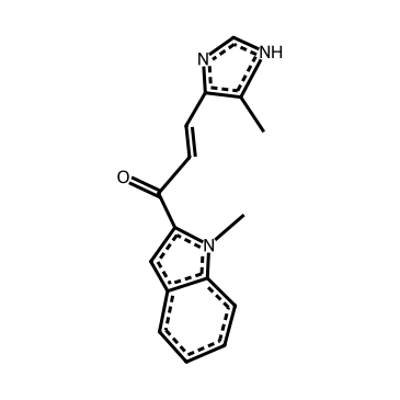 Cc1[nH]cnc1C=CC(=O)c1cc2ccccc2n1C